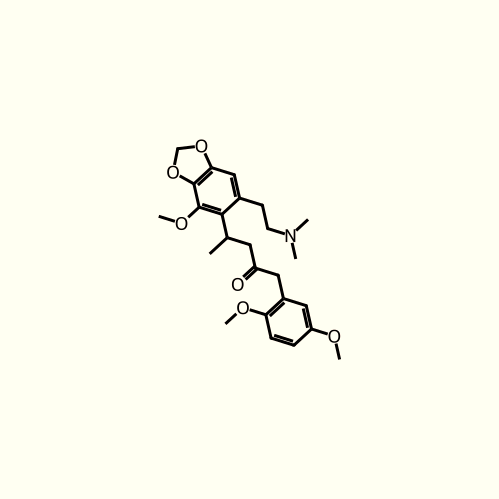 COc1ccc(OC)c(CC(=O)CC(C)c2c(CCN(C)C)cc3c(c2OC)OCO3)c1